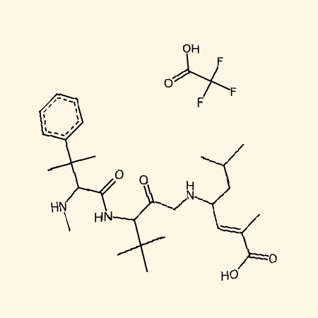 CNC(C(=O)NC(C(=O)CNC(/C=C(\C)C(=O)O)CC(C)C)C(C)(C)C)C(C)(C)c1ccccc1.O=C(O)C(F)(F)F